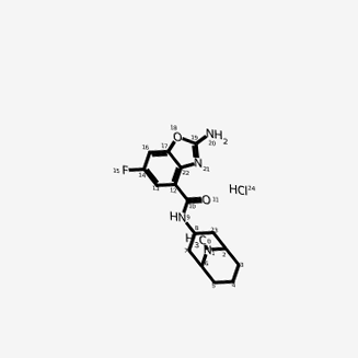 CN1C2CCCC1CC(NC(=O)c1cc(F)cc3oc(N)nc13)C2.Cl